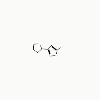 Nc1cc(C2CCCN2)n[nH]1